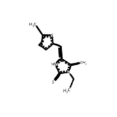 C=c1/c(=C/c2ccc(C)s2)[nH]c(=S)n1CC